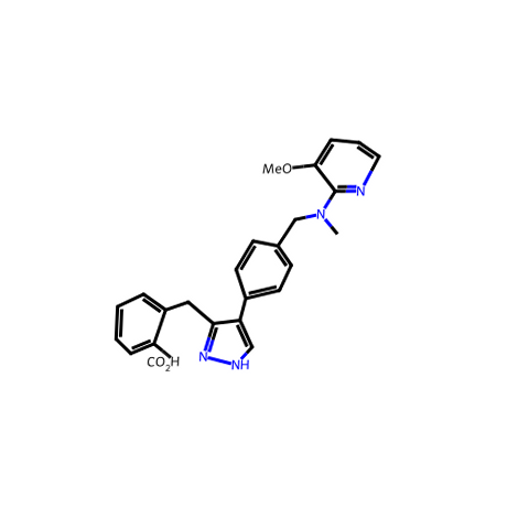 COc1cccnc1N(C)Cc1ccc(-c2c[nH]nc2Cc2ccccc2C(=O)O)cc1